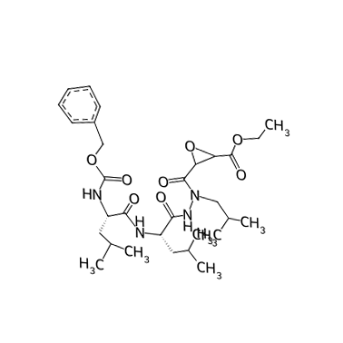 CCOC(=O)C1OC1C(=O)N(CC(C)C)NC(=O)[C@H](CC(C)C)NC(=O)[C@H](CC(C)C)NC(=O)OCc1ccccc1